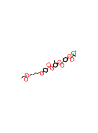 C=CC(=O)OCCCCCCOc1ccc(C(=O)Oc2ccc(OC(=O)c3ccc(OC(=O)C(=C)Cl)cc3)c(C)c2)cc1